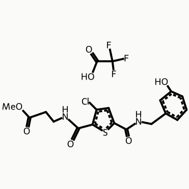 COC(=O)CCNC(=O)c1sc(C(=O)NCc2cccc(O)c2)cc1Cl.O=C(O)C(F)(F)F